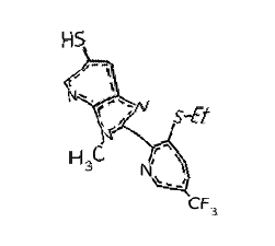 CCSc1cc(C(F)(F)F)cnc1-c1nc2cc(S)cnc2n1C